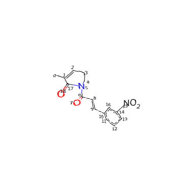 CC1=CCCN(C(=O)/C=C/c2cccc([N+](=O)[O-])c2)C1=O